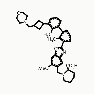 COc1cc2oc(-c3cccc(-c4cccc(C5CC(CN6CCOCC6)C5)c4C)c3C)nc2cc1CN1CCCCC1C(=O)O